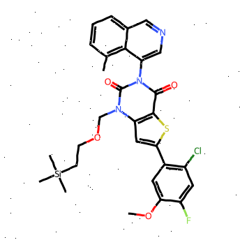 COc1cc(-c2cc3c(s2)c(=O)n(-c2cncc4cccc(C)c24)c(=O)n3COCC[Si](C)(C)C)c(Cl)cc1F